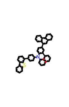 c1ccc(-c2cc(-c3cc4ccccc4c4ccccc34)ccc2N(c2ccccc2)c2ccc(-c3cccc4c3sc3ccccc34)cc2)cc1